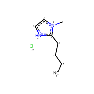 C[n+]1cc[nH]c1CCCC#N.[Cl-]